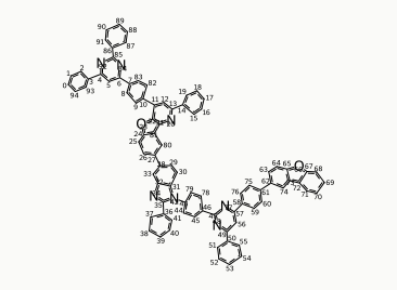 c1ccc(-c2cc(-c3ccc(-c4cc(-c5ccccc5)nc5c4oc4ccc(-c6ccc7c(c6)nc(-c6ccccc6)n7-c6ccc(-c7nc(-c8ccccc8)cc(-c8ccc(-c9ccc%10oc%11ccccc%11c%10c9)cc8)n7)cc6)cc45)cc3)nc(-c3ccccc3)n2)cc1